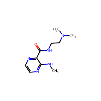 CNc1nccnc1C(=O)NCCN(C)C